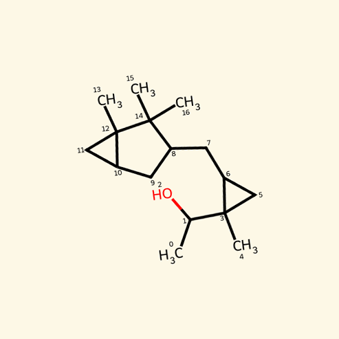 CC(O)C1(C)CC1CC1CC2CC2(C)C1(C)C